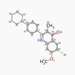 COc1cc2[nH]c(-c3ccc(N4CCCCC4)cc3)c(C)c(=O)c2cc1F